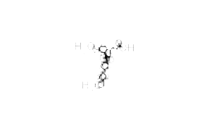 CCOc1ccc2c(CCC(=O)O)cn(S(=O)(=O)c3ccc(-c4ccc(OC)cc4)cc3)c2c1